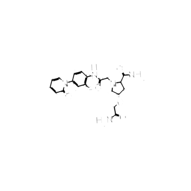 NC(=O)CO[C@H]1[CH]C(C(N)=O)N(CC(=O)Nc2ccc(-n3ccccc3=O)cc2F)C1